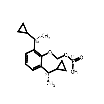 C[C@H](c1cccc([C@@H](C)C2CC2)c1OCO[PH](=O)O)C1CC1